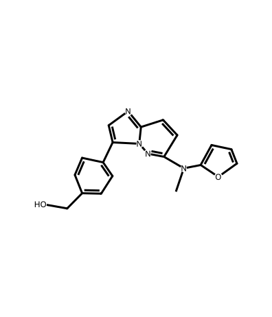 CN(c1ccc2ncc(-c3ccc(CO)cc3)n2n1)c1ccco1